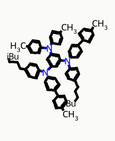 CCC(C)CCCc1ccc(N(c2ccc(-c3ccc(C)cc3)cc2)c2cc(N(c3ccc(C)cc3)c3ccc(C)cc3)cc(N(c3ccc(CCCC(C)CC)cc3)c3ccc(-c4ccc(C)cc4)cc3)c2)cc1